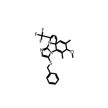 COC1C(C)=CC23C=CC=C(C(F)(F)F)N2c2ncc(SCc4ccccc4)n2C3=C1C